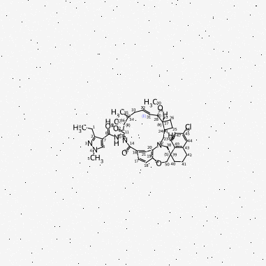 CCc1nn(C)cc1C(=O)NS1(=O)=NC(=O)c2ccc3c(c2)N(C[C@@H]2CC[C@H]2[C@@H](OC)/C=C/C[C@H](C)[C@H]1C)C[C@@]1(CCCc2cc(Cl)ccc21)CO3